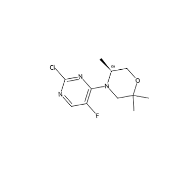 C[C@H]1COC(C)(C)CN1c1nc(Cl)ncc1F